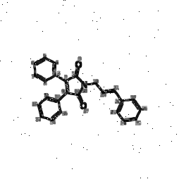 O=C1C(c2ccccc2)=C(c2ccccc2)C(=O)N1CC=Cc1ccccc1